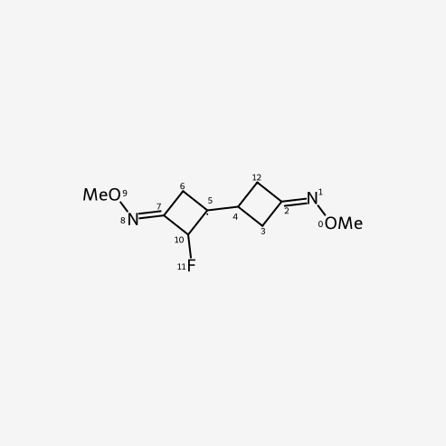 CON=C1CC([C]2CC(=NOC)C2F)C1